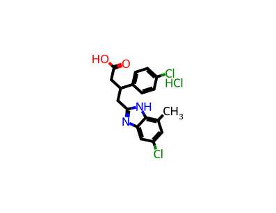 Cc1cc(Cl)cc2nc(CC(CC(=O)O)c3ccc(Cl)cc3)[nH]c12.Cl